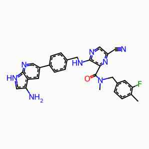 Cc1ccc(CN(C)C(=O)c2nc(C#N)cnc2NCc2ccc(-c3cnc4[nH]cc(N)c4c3)cc2)cc1F